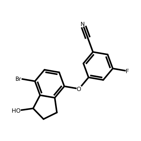 N#Cc1cc(F)cc(Oc2ccc(Br)c3c2CCC3O)c1